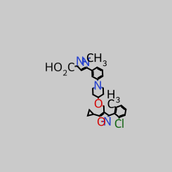 Cc1cccc(Cl)c1-c1noc(C2CC2)c1COC1CCN(c2cccc(-c3cc(C(=O)O)nn3C)c2)CC1